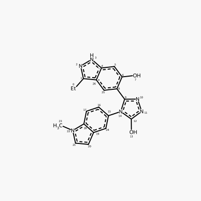 CCc1n[nH]c2cc(O)c(-c3nnc(O)n3-c3ccc4c(ccn4C)c3)cc12